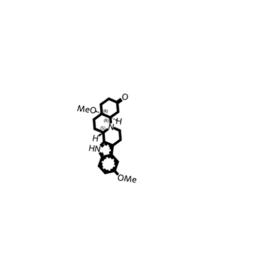 COc1ccc2[nH]c3c(c2c1)CCN1[C@H]3CC[C@@]2(OC)CCC(=O)C[C@@H]12